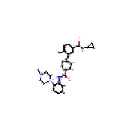 Cc1ccc(C(=O)NC2CC2)cc1-c1ccc(C(=O)Nc2ccccc2N2CCN(C)CC2)cc1